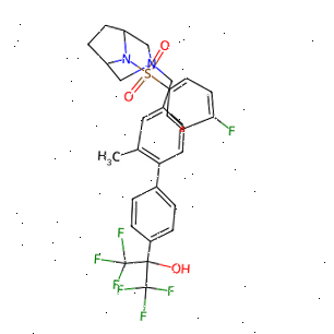 Cc1cc(CN2CC3CCC(C2)N3S(=O)(=O)c2ccc(F)cc2)ccc1-c1ccc(C(O)(C(F)(F)F)C(F)(F)F)cc1